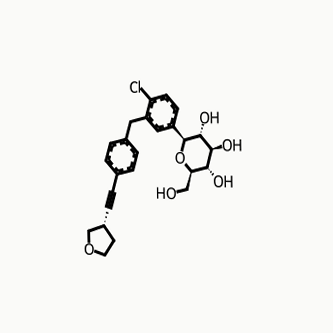 OC[C@H]1O[C@@H](c2ccc(Cl)c(Cc3ccc(C#C[C@@H]4CCOC4)cc3)c2)[C@H](O)[C@@H](O)[C@@H]1O